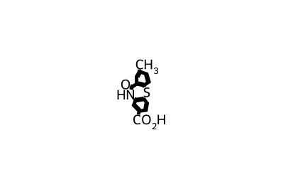 Cc1ccc2c(c1)C(=O)Nc1cc(C(=O)O)ccc1S2